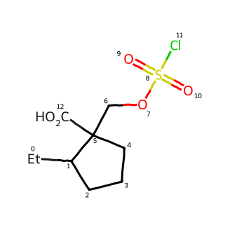 CCC1CCCC1(COS(=O)(=O)Cl)C(=O)O